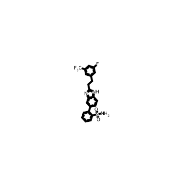 NS(=O)(=O)c1ccccc1-c1ccc2[nH]c(CCc3cc(F)cc(C(F)(F)F)c3)nc2c1